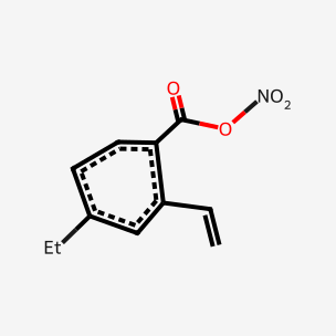 C=Cc1cc(CC)ccc1C(=O)O[N+](=O)[O-]